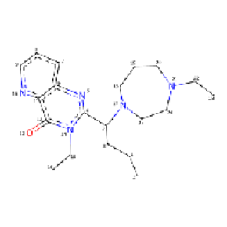 CCCC(c1nc2cccnc2c(=O)n1CC)N1CCCN(CC)CC1